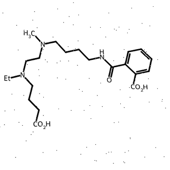 CCN(CCCC(=O)O)CCN(C)CCCCNC(=O)c1ccccc1C(=O)O